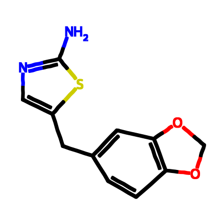 Nc1ncc(Cc2ccc3c(c2)OCO3)s1